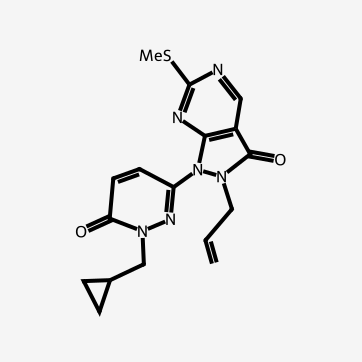 C=CCn1c(=O)c2cnc(SC)nc2n1-c1ccc(=O)n(CC2CC2)n1